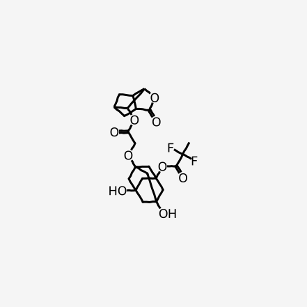 CC(F)(F)C(=O)OC12CC3(O)CC(O)(CC(OCC(=O)OC4C5CC6C(=O)OC4C6C5)(C3)C1)C2